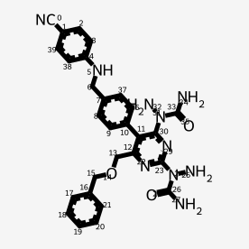 N#Cc1ccc(NCc2ccc(-c3c(COCc4ccccc4)nc(N(N)C(N)=O)nc3N(N)C(N)=O)cc2)cc1